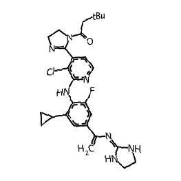 C=C(N=C1NCCN1)c1cc(F)c(Nc2nccc(C3=NCCN3C(=O)CC(C)(C)C)c2Cl)c(C2CC2)c1